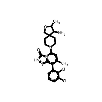 Cc1cc(N2CCC3(CC2)COC(C)C3N)n2c(=O)[nH]nc2c1-c1cccc(Cl)c1Cl